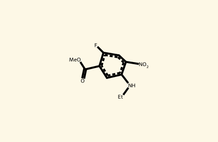 CCNc1cc(C(=O)OC)c(F)cc1[N+](=O)[O-]